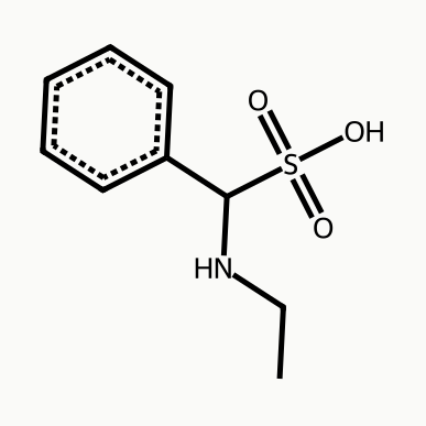 CCNC(c1ccccc1)S(=O)(=O)O